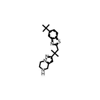 CC(C)(C)c1ccc2sc(CC(C)(C)c3cc4n(n3)CCNC4)nc2c1